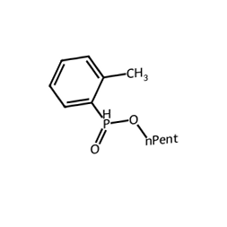 CCCCCO[PH](=O)c1ccccc1C